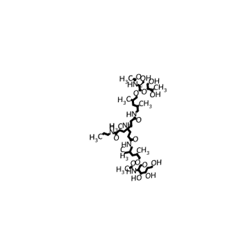 CCCNC(=O)CCC(CCC(=O)NCC(C)CC(C)COC(OC(CO)[C@@H](C)O)[C@H](CO)NC(C)=O)(CCC(=O)NCC(CC)CC(C)COC1OC(CO)C(O)C(O)C1NC(C)=O)NC